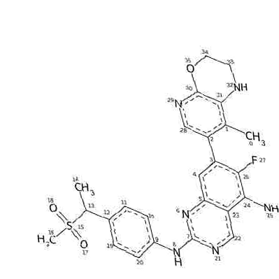 Cc1c(-c2cc3nc(Nc4ccc(C(C)S(C)(=O)=O)cc4)ncc3c(N)c2F)cnc2c1NCCO2